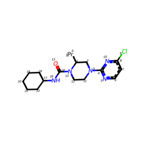 CC(C)C1CN(c2nccc(Cl)n2)CCN1C(=O)NC1CCCCC1